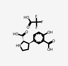 O=C(O)C(F)(F)F.O=C(O)c1cc([C@H]2CCN[C@@H]2C(=O)O)ccc1O